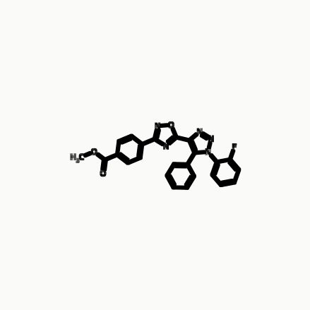 COC(=O)c1ccc(-c2noc(-c3nnn(-c4ccccc4F)c3-c3ccccc3)n2)cc1